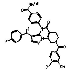 CNC(=O)c1ccc(-n2c(=O)c3c(n4ncc(Nc5ccc(F)cc5)c24)CN(C(=O)c2ccc(Br)c(C#N)c2)CC3)cc1